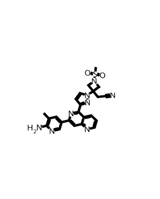 Cc1cc(-c2cc3ncccc3c(-c3ccn(C4(CC#N)CN(S(C)(=O)=O)C4)n3)n2)cnc1N